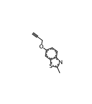 C#CCOc1ccc2nc(C)sc2c1